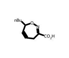 CCCCC1C#CCC(C(=O)O)=NO1